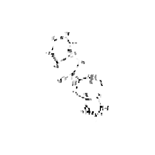 N[C@@H](Cc1c[nH]cn1)C(=O)[CH]c1ccccc1